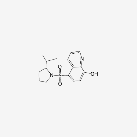 CC(C)C1CCCN1S(=O)(=O)c1ccc(O)c2ncccc12